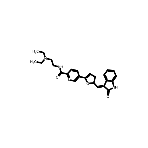 CCN(CC)CCNC(=O)c1ccc(C2=CCC(/C=C3/C(=O)Nc4ccccc43)O2)cn1